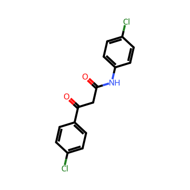 O=C(CC(=O)c1ccc(Cl)cc1)Nc1ccc(Cl)cc1